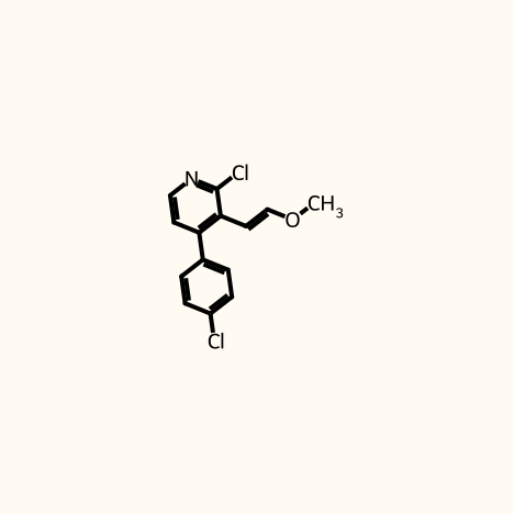 COC=Cc1c(-c2ccc(Cl)cc2)ccnc1Cl